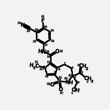 C=C(C)[C@@]1(CO)CCc2c(cn(C)c2C(=O)Nc2ccc(F)c(C#N)c2)S(=O)(=O)N1